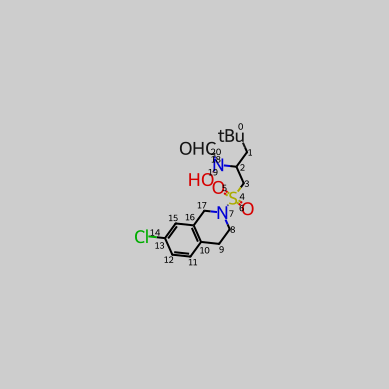 CC(C)(C)CC(CS(=O)(=O)N1CCc2ccc(Cl)cc2C1)N(O)C=O